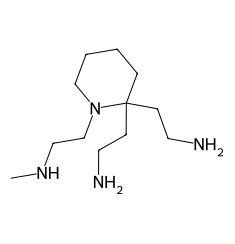 CNCCN1CCCCC1(CCN)CCN